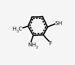 Cc1ccc(S)c(F)c1N